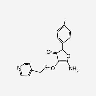 Cc1ccc(C2OC(N)=C(OSCc3ccncc3)C2=O)cc1